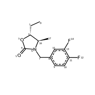 CC[C@H]1OC(=O)N(Cc2ccc(F)c(F)c2)[C@@H]1C